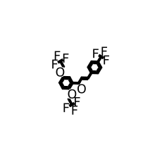 O=C(C=Cc1ccc(C(F)(F)F)cc1)c1cc(OCC(F)(F)F)ccc1OCC(F)(F)F